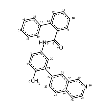 Cc1ccc(NC(=O)c2ccccc2-c2ccccc2)cc1-c1ccc2ccncc2c1